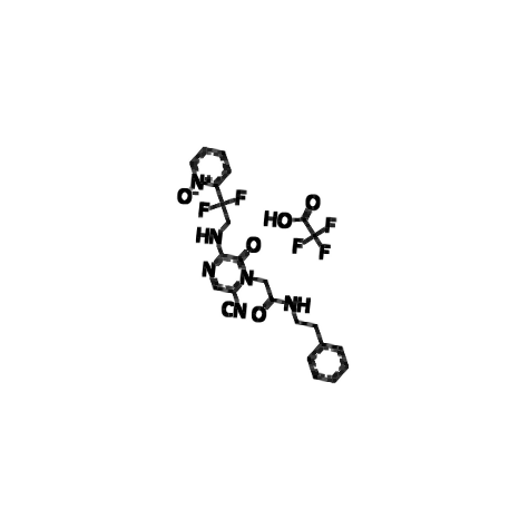 N#Cc1cnc(NCC(F)(F)c2cccc[n+]2[O-])c(=O)n1CC(=O)NCCc1ccccc1.O=C(O)C(F)(F)F